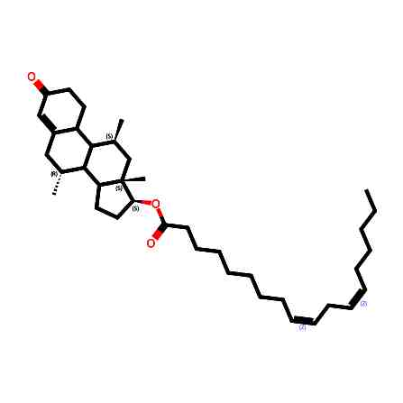 CCCCC/C=C\C/C=C\CCCCCCCC(=O)O[C@H]1CCC2C3C(C4CCC(=O)C=C4C[C@H]3C)[C@@H](C)C[C@@]21C